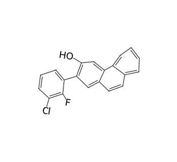 Oc1cc2c(ccc3ccccc32)cc1-c1cccc(Cl)c1F